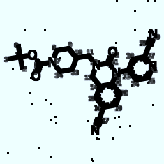 CC(C)(C)OC(=O)N1CCC(CN2Cc3cc(C#N)ccc3N(c3ccnc(C#N)c3)C2=O)CC1